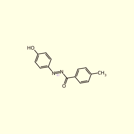 Cc1ccc(C(=O)/N=N/c2ccc(O)cc2)cc1